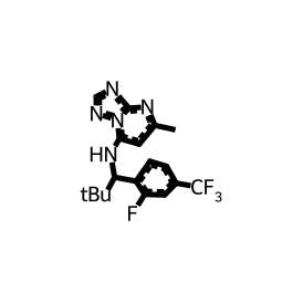 Cc1cc(NC(c2ccc(C(F)(F)F)cc2F)C(C)(C)C)n2ncnc2n1